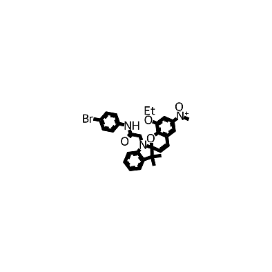 CCOc1cc([N+](C)=O)cc2c1OC1(C=C2)N(CC(=O)Nc2ccc(Br)cc2)c2ccccc2C1(C)C